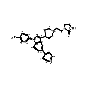 O=C1NCCN1CCN1CCC(c2cn(-c3ccc(F)cc3)c3ccc(-c4ccncc4)cc23)CC1